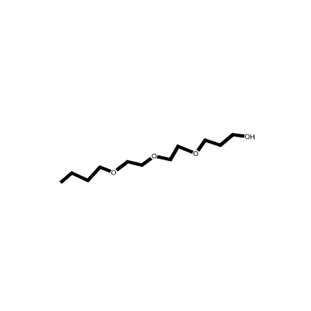 CCCCOCCOCCOCCCO